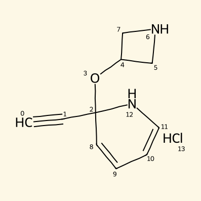 C#CC1(OC2CNC2)C=CC=CN1.Cl